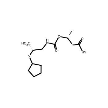 CC(C)C(=O)O[C@@H](C)OC(=O)NC[C@H](SC1CCCC1)C(=O)O